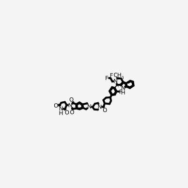 C[C@@H]1Cc2c([nH]c3ccccc23)[C@@H](c2ccc(C3CCC(C(=O)N4CCC(N5Cc6cc7c(cc6C5)C(=O)N(C5CCC(=O)NC5=O)C7=O)CC4)CC3)cc2F)N1CC(F)F